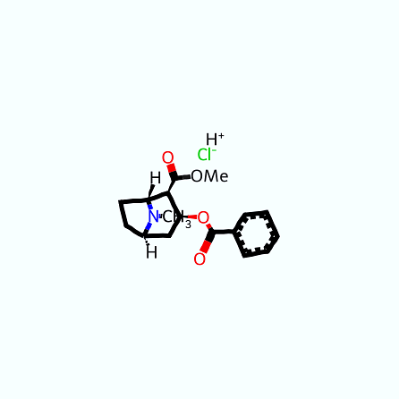 COC(=O)[C@H]1[C@@H](OC(=O)c2ccccc2)C[C@H]2CC[C@H]1N2C.[Cl-].[H+]